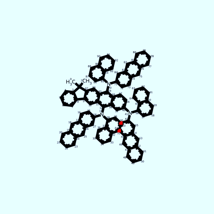 CC1(C)c2ccccc2-c2cc3c(N(c4ccc5cc6ccccc6cc5c4)c4cccc5ccccc45)c4cc(N(c5ccc6cc7ccccc7cc6c5)c5cccc6ccccc56)ccc4c(N(c4ccc5cc6ccccc6cc5c4)c4cccc5ccccc45)c3cc21